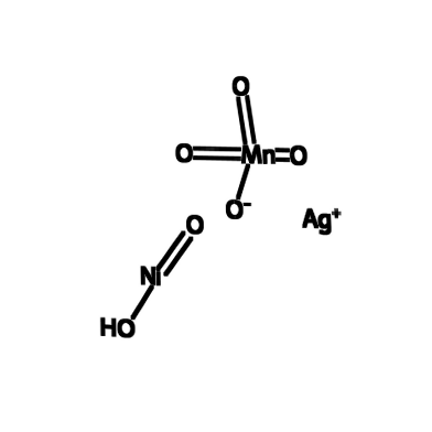 [Ag+].[O]=[Mn](=[O])(=[O])[O-].[O]=[Ni][OH]